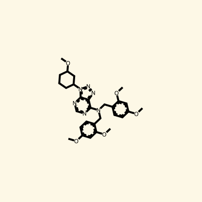 COc1ccc(CN(Cc2ccc(OC)cc2OC)c2ncnc3c2nnn3C2CCCC(OC)C2)c(OC)c1